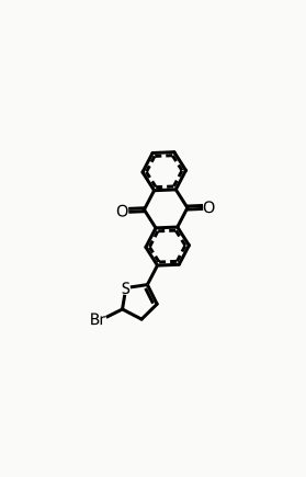 O=C1c2ccccc2C(=O)c2cc(C3=CCC(Br)S3)ccc21